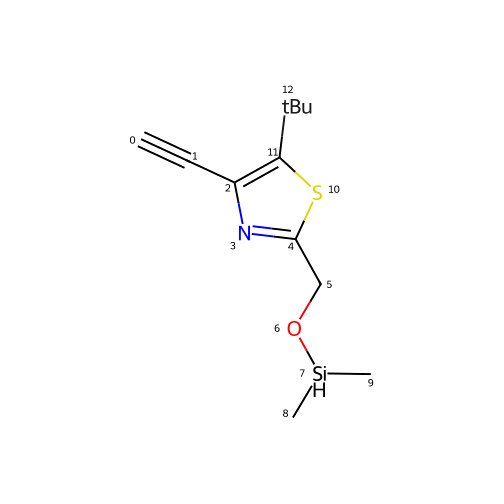 C#Cc1nc(CO[SiH](C)C)sc1C(C)(C)C